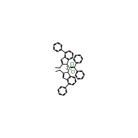 CCC1=Cc2c(-c3ccccc3)cccc2[CH]1[Zr]([Cl])([Cl])(=[C](c1ccccc1)c1ccccc1)[CH]1C(CC)=Cc2c(-c3ccccc3)cccc21